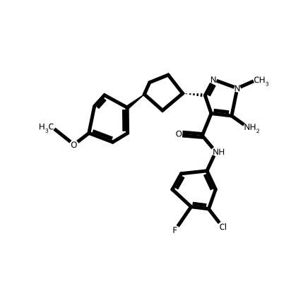 COc1ccc([C@H]2CC[C@H](c3nn(C)c(N)c3C(=O)Nc3ccc(F)c(Cl)c3)C2)cc1